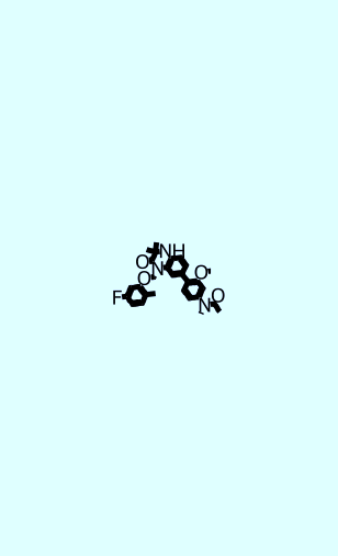 COc1cc(N(C)C(C)=O)ccc1-c1ccc2c(c1)N(COc1cc(F)ccc1C)C(=O)C(C)(C)N2